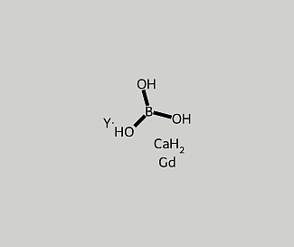 OB(O)O.[CaH2].[Gd].[Y]